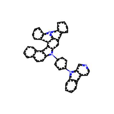 c1ccc2c(c1)ccc1c2c2c3c4ccccc4n4c5ccccc5c(cc2n1-c1ccc(-n2c5ccccc5c5ccncc52)cc1)c34